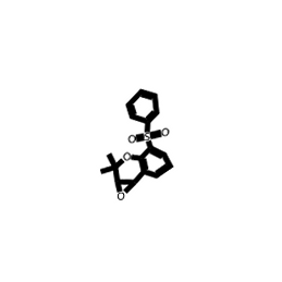 CC1(C)Oc2c(cccc2S(=O)(=O)c2ccccc2)C2OC21